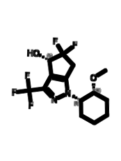 CO[C@@H]1CCCC[C@@H]1n1nc(C(F)(F)F)c2c1CC(F)(F)[C@H]2O